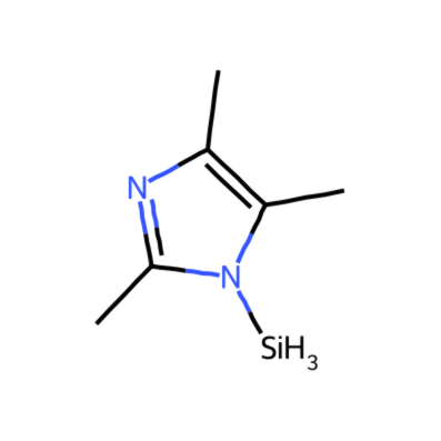 Cc1nc(C)n([SiH3])c1C